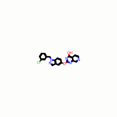 Oc1nc(Oc2ccc3c(cnn3Cc3cccc(Cl)c3)c2)nc2cnccc12